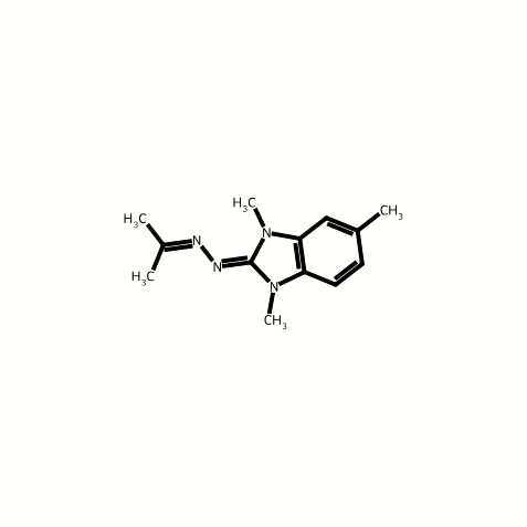 CC(C)=NN=c1n(C)c2ccc(C)cc2n1C